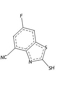 N#Cc1cc(F)cc2sc(S)nc12